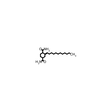 CCCCCCCCCCCC=C1CC(C(N)=O)CCC1C(N)=O